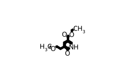 CCOC(=O)c1c[nH]c(=O)c(CCOC)c1